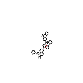 C=Nc1ccc2cc(-c3ccc(N(c4ccc5c(c4)-c4ccccc4C5(C)C)c4ccccc4-c4ccccc4)cc3)ccc2c1OCc1ccccc1